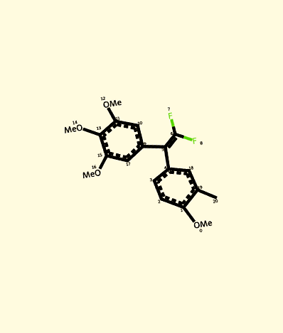 COc1ccc(C(=C(F)F)c2cc(OC)c(OC)c(OC)c2)cc1C